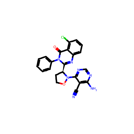 N#Cc1c(N)ncnc1N1OCC[C@H]1c1nc2cccc(Cl)c2c(=O)n1-c1ccccc1